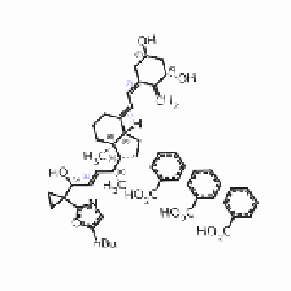 C=C1/C(=C\C=C2/CCC[C@]3(C)[C@@H]([C@H](C)/C=C/[C@H](O)C4(c5ncc(CCCC)o5)CC4)CC[C@@H]23)C[C@@H](O)C[C@@H]1O.O=C(O)c1ccccc1.O=C(O)c1ccccc1.O=C(O)c1ccccc1